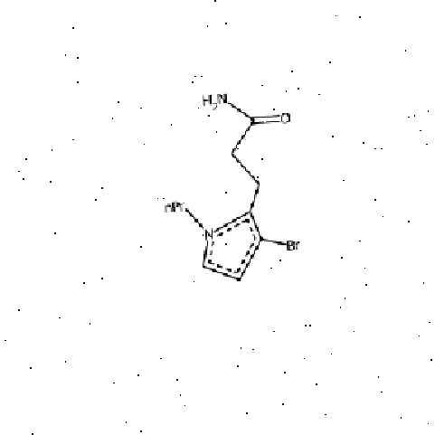 CCCn1ccc(Br)c1CCC(N)=O